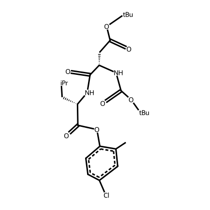 Cc1cc(Cl)ccc1OC(=O)[C@H](CC(C)C)NC(=O)[C@H](CC(=O)OC(C)(C)C)NC(=O)OC(C)(C)C